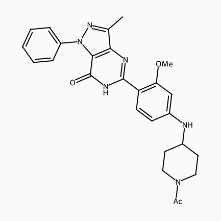 COc1cc(NC2CCN(C(C)=O)CC2)ccc1-c1nc2c(C)nn(-c3ccccc3)c2c(=O)[nH]1